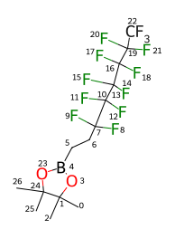 CC1(C)OB(CCC(F)(F)C(F)(F)C(F)(F)C(F)(F)C(F)(F)C(F)(F)F)OC1(C)C